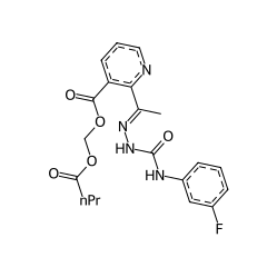 CCCC(=O)OCOC(=O)c1cccnc1C(C)=NNC(=O)Nc1cccc(F)c1